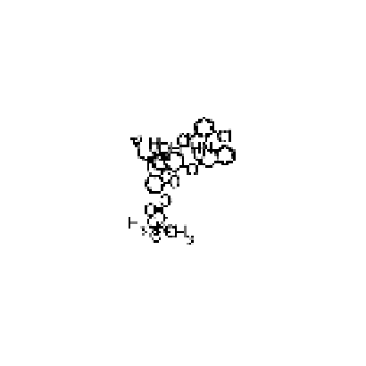 CP(C)(=O)CC(=O)Oc1ccc2c3c1OC1C(OC(=O)Cc4ccccc4Nc4c(Cl)cccc4Cl)CC[C@@]4(O)[C@@H](C2)N(CC2CC2)CC[C@]314